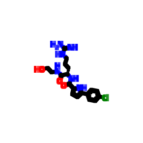 N=C(N)NCCC[C@H](NC(=O)c1ccc(-c2ccc(Cl)cc2)[nH]1)C(=O)NCCO